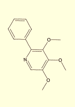 COc1cnc(-c2ccccc2)c(OC)c1OC